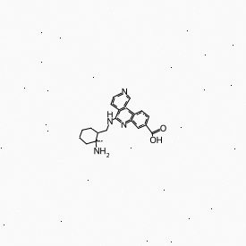 CC1(N)CCCCC1CNc1nc2cc(C(=O)O)ccc2c2cnccc12